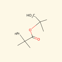 CCCC(C)(C)C(=O)OC(C)(C)C(=O)O